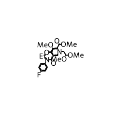 CCN(C(=O)c1cn(CC(OC)OC)c(C(=O)OC)c(OC)c1=O)c1ccc(F)cc1